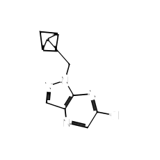 Clc1cnc2cnn(CC3C4CC3C4)c2n1